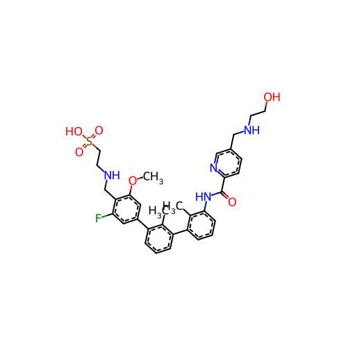 COc1cc(-c2cccc(-c3cccc(NC(=O)c4ccc(CNCCO)cn4)c3C)c2C)cc(F)c1CNCCS(=O)(=O)O